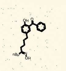 CCCCC(CCCCc1ccc(O)c(C(=O)c2ccccc2)c1)=NO